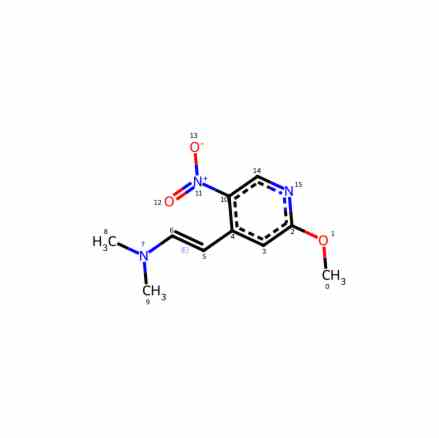 COc1cc(/C=C/N(C)C)c([N+](=O)[O-])cn1